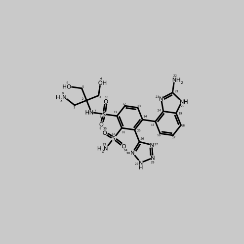 NCC(CO)(CO)NS(=O)(=O)c1ccc(-c2cccc3[nH]c(N)nc23)c(-c2nn[nH]n2)c1S(N)(=O)=O